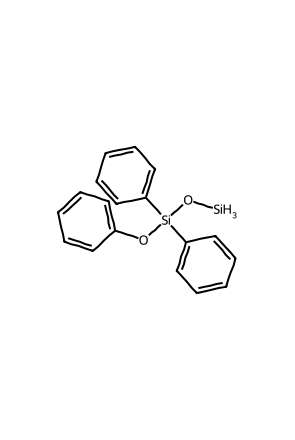 [SiH3]O[Si](Oc1ccccc1)(c1ccccc1)c1ccccc1